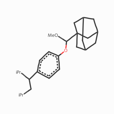 COC(Oc1ccc(C(CC(C)C)C(C)C)cc1)C12CC3CC(CC(C3)C1)C2